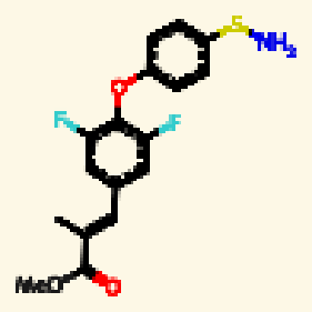 COC(=O)/C(C)=C/c1cc(F)c(Oc2ccc(SN)cc2)c(F)c1